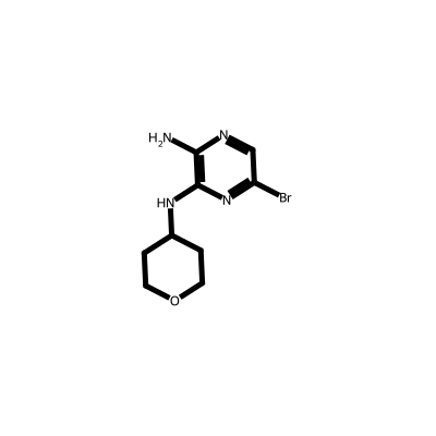 Nc1ncc(Br)nc1NC1CCOCC1